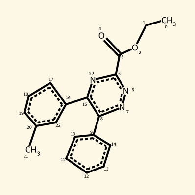 CCOC(=O)c1nnc(-c2ccccc2)c(-c2cccc(C)c2)n1